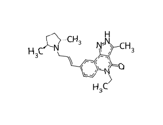 CCn1c(=O)c2c(C)[nH]nc2c2cc(C=CCN3[C@@H](C)CC[C@@H]3C)ccc21